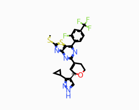 CSc1nc2nc(C3=C[C@H](c4c[nH]nc4C4CC4)OCC3)nc(-c3ccc(C(F)(F)F)cc3F)c2s1